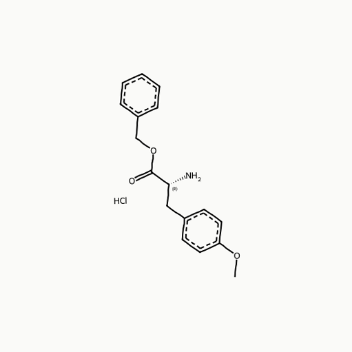 COc1ccc(C[C@@H](N)C(=O)OCc2ccccc2)cc1.Cl